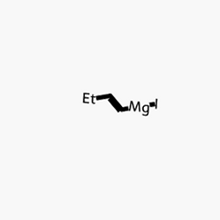 CCC=[CH][Mg][I]